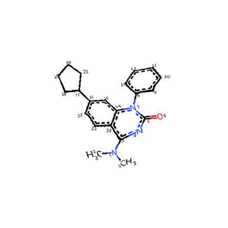 CN(C)c1nc(=O)n(-c2ccccc2)c2cc(C3CCCC3)ccc12